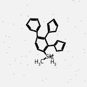 C[SiH](C)c1ccc(-c2ccccc2)c(C2=CC=CC2)c1C1=CC=CC1